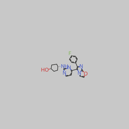 O[C@H]1CC[C@H](Nc2nccc(-c3c(-c4ccc(F)cc4)nc4occn34)n2)CC1